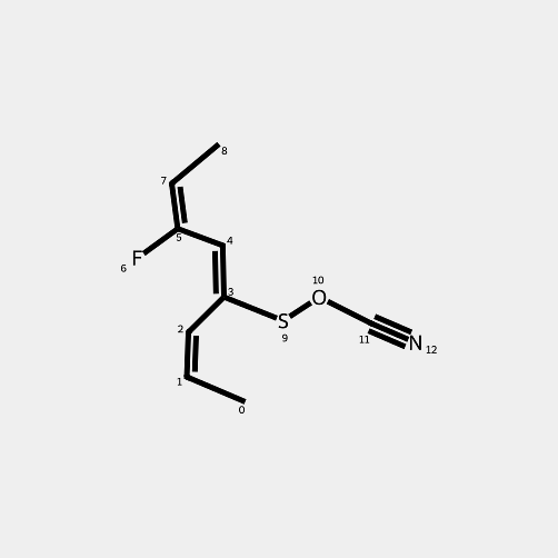 C\C=C/C(=C\C(F)=C/C)SOC#N